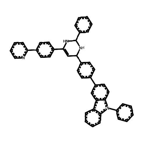 C1=C(c2ccc(-c3ccccn3)cc2)NC(c2ccccc2)NC1c1ccc(-c2ccc3c(c2)c2ccccc2n3-c2ccccc2)cc1